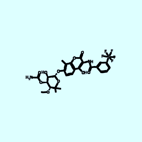 CO[C@@H]1[C@@H](OC(N)=O)[C@@H](O)[C@H](Oc2ccc3c(O)c(NC(=O)c4cccc(S(F)(F)(F)(F)F)c4)c(=O)oc3c2C)OC1(C)C